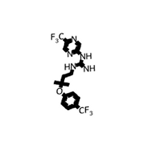 CC(C)(CCNC(=N)Nc1cnc(C(F)(F)F)cn1)Oc1ccc(C(F)(F)F)cc1